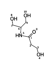 O=C(CCO)NC(CO)CO